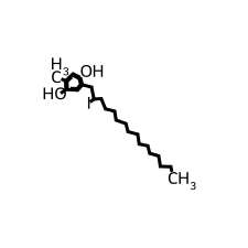 CCCCCCCCCCCCCCC(I)Cc1cc(O)c(C)cc1O